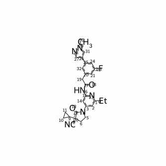 CCc1cc(N2CC[C@@](C#N)(C3CC3)C2=O)cc(NC(=O)Cc2cc(F)cc(-c3cnn(C)c3)c2)n1